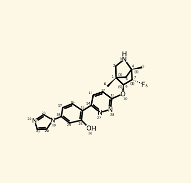 C[C@@]12CN[C@@](C)(C1)[C@H](F)[C@H]2Oc1ccc(-c2ccc(-n3ccnc3)cc2O)nn1